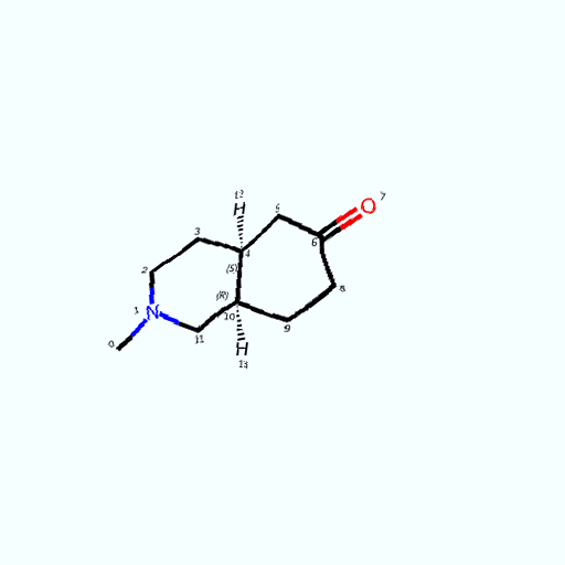 CN1CC[C@H]2CC(=O)CC[C@H]2C1